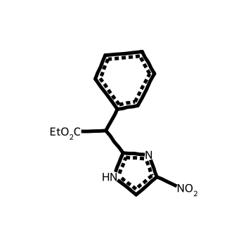 CCOC(=O)C(c1ccccc1)c1nc([N+](=O)[O-])c[nH]1